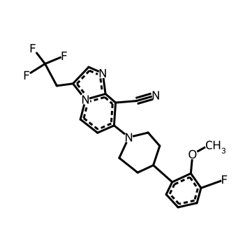 COc1c(F)cccc1C1CCN(c2ccn3c(CC(F)(F)F)cnc3c2C#N)CC1